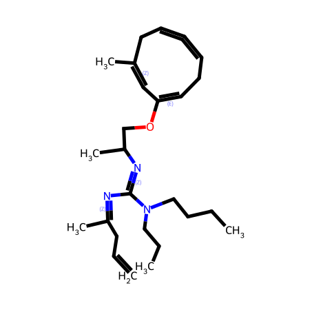 C=CC/C(C)=N\C(=N/C(C)COC1=C/CC=C=CC/C(C)=C\1)N(CCC)CCCC